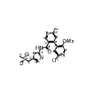 COc1cnc(Cl)cc1-c1cc(C)ncc1C(=O)Nc1nnc(CS(C)(=O)=O)s1